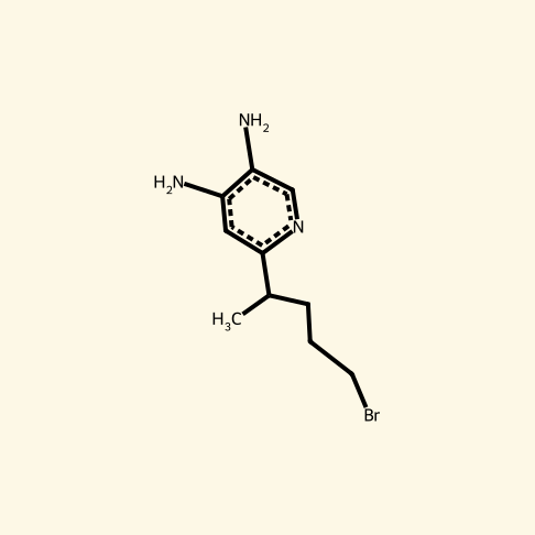 CC(CCCBr)c1cc(N)c(N)cn1